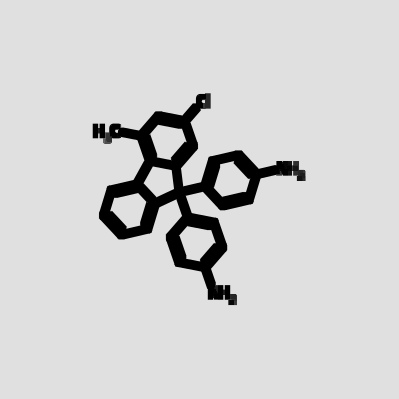 Cc1cc(Cl)cc2c1-c1ccccc1C2(c1ccc(N)cc1)c1ccc(N)cc1